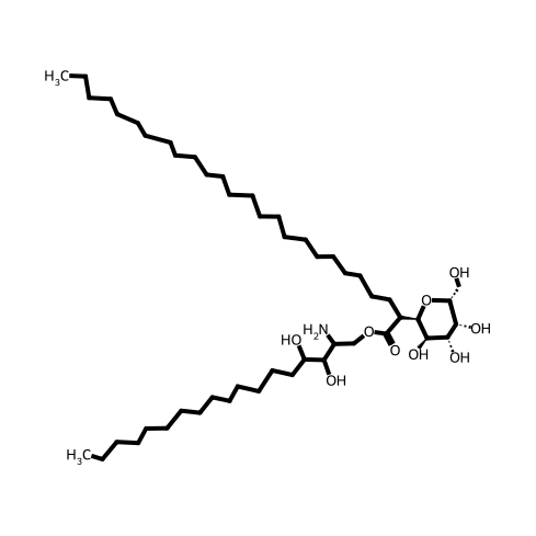 CCCCCCCCCCCCCCCCCCCCCCCCC(C(=O)OCC(N)C(O)C(O)CCCCCCCCCCCCCC)[C@H]1O[C@H](CO)[C@H](O)[C@H](O)[C@H]1O